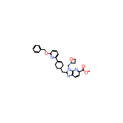 COC(=O)c1ccc2nc(CC3CC=C(c4cccc(OCc5ccccc5)n4)CC3)n(C[C@@H]3CCO3)c2n1